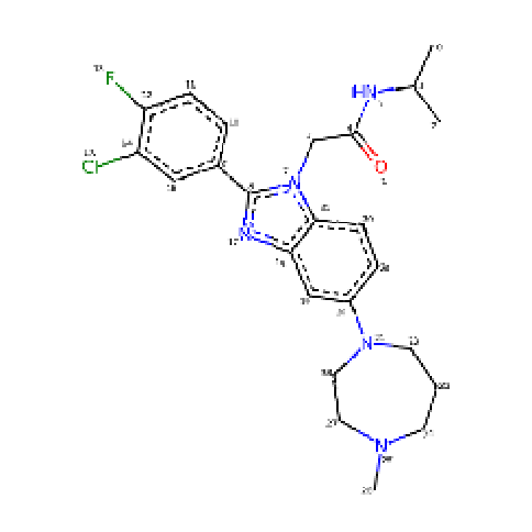 CC(C)NC(=O)Cn1c(-c2ccc(F)c(Cl)c2)nc2cc(N3CCCN(C)CC3)ccc21